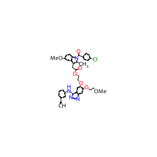 C#Cc1cccc(Nc2ncnc3cc(OCCOC)c(OCCOC(=O)Cc4c(C)n(C(=O)c5ccc(Cl)cc5)c5ccc(OC)cc45)cc23)c1